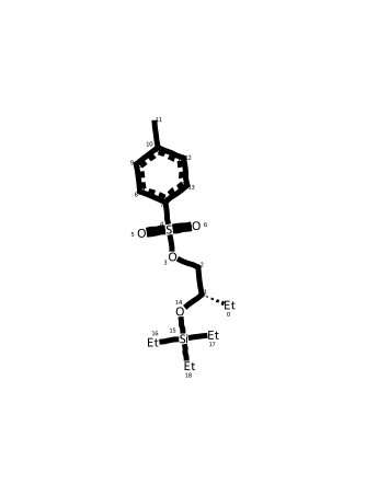 CC[C@@H](COS(=O)(=O)c1ccc(C)cc1)O[Si](CC)(CC)CC